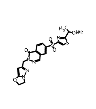 COC(C)c1nc(S(=O)(=O)c2ccc3c(=O)n(Cc4cc5n(n4)CCO5)ncc3c2)cs1